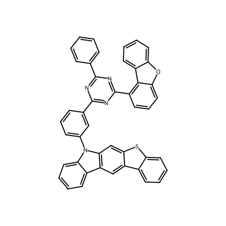 c1ccc(-c2nc(-c3cccc(-n4c5ccccc5c5cc6c(cc54)sc4ccccc46)c3)nc(-c3cccc4oc5ccccc5c34)n2)cc1